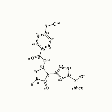 CCCCCC[S+]([O-])c1nnc(N2C(=O)N(C)CC2OC(=O)c2ccc(CCl)cc2)s1